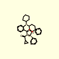 O=C(C1CC1)N1C(c2ccccc2P(C2CCCCC2)C2CCCCC2)=N[C@H](c2ccccc2)[C@H]1c1ccccc1